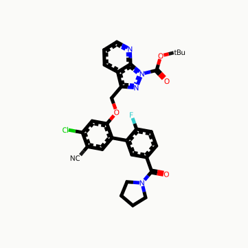 CC(C)(C)OC(=O)n1nc(COc2cc(Cl)c(C#N)cc2-c2cc(C(=O)N3CCCC3)ccc2F)c2cccnc21